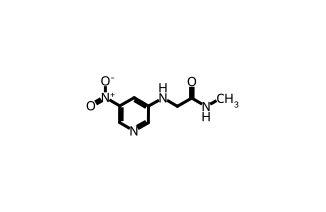 CNC(=O)CNc1cncc([N+](=O)[O-])c1